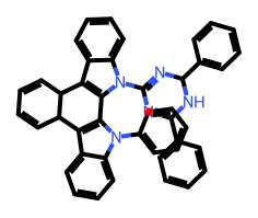 C1=CC2c3c(n(C4=NC(c5ccccc5)NC(c5ccccc5)=N4)c4ccccc34)-c3c(c4ccccc4n3-c3ccccc3)C2C=C1